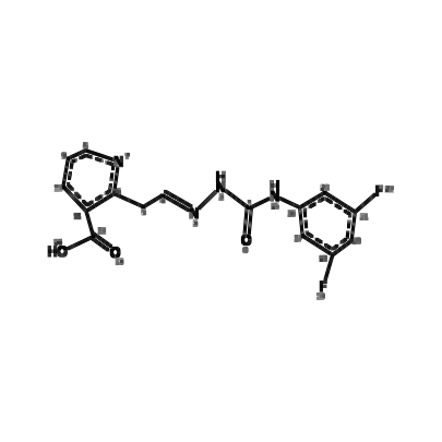 O=C(N/N=C/Cc1ncccc1C(=O)O)Nc1cc(F)cc(F)c1